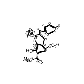 CCO.CCO.COC(=O)c1cc(C(=O)O)c2cc(Cc3ccc(F)cc3)cnc2c1O.N